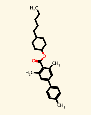 CCCCCC1CCC(OC(=O)c2c(C)cc(-c3ccc(C)cc3)cc2C)CC1